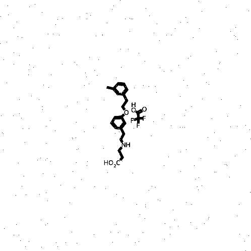 Cc1cccc(CCOc2cccc(CCNCCC(=O)O)c2)c1.O=C(O)C(F)(F)F